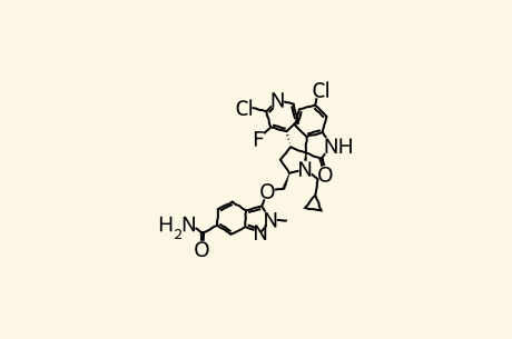 Cn1nc2cc(C(N)=O)ccc2c1OC[C@H]1C[C@H](c2ccnc(Cl)c2F)[C@]2(C(=O)Nc3cc(Cl)ccc32)N1CC1CC1